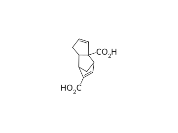 O=C(O)C1=CC2CC1C1CC=CC21C(=O)O